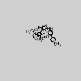 CC(C)Oc1nc(Nc2ncc(F)c(-c3cc(F)c4c(c3)N(C(C)C)CCO4)n2)ccc1C1CCN(C)CC1